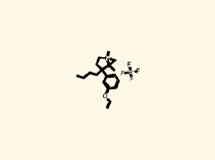 CCCCC1(c2cccc(OCC)c2)CC[N+]2(C)CC12C.F[B-](F)(F)F